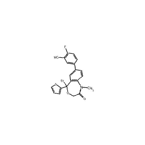 CCC1(c2cccs2)OCC(=O)N(C)c2ccc(-c3ccc(F)c(C#N)c3)cc21